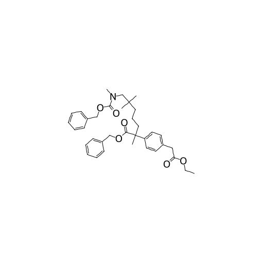 CCOC(=O)Cc1ccc(C(C)(CCCC(C)(C)CN(C)C(=O)OCc2ccccc2)C(=O)OCc2ccccc2)cc1